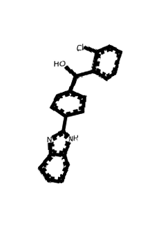 OC(c1ccc(-c2nc3ccccc3[nH]2)cc1)c1ccccc1Cl